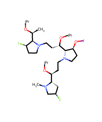 CC(C)O[C@@H](C)[C@@H]1[C@H](F)CCN1CC[C@H](OC(C)C)[C@@H]1[C@@H](OI)CCN1CC[C@H](OC(C)C)[C@@H]1C[C@@H](F)CN1C